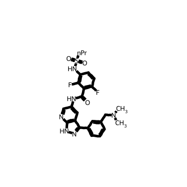 CCCS(=O)(=O)Nc1ccc(F)c(C(=O)Nc2cnc3[nH]nc(-c4cccc(CN(C)C)c4)c3c2)c1F